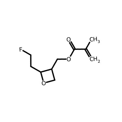 C=C(C)C(=O)OCC1COC1CCF